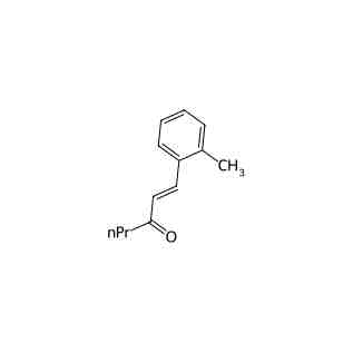 CCCC(=O)C=Cc1ccccc1C